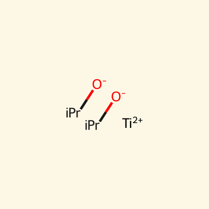 CC(C)[O-].CC(C)[O-].[Ti+2]